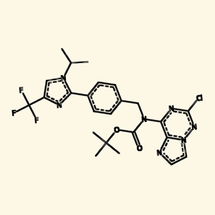 CC(C)n1cc(C(F)(F)F)nc1-c1ccc(CN(C(=O)OC(C)(C)C)c2nc(Cl)nn3ccnc23)cc1